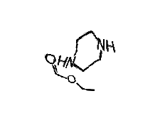 C1CNCCN1.CCOC=O